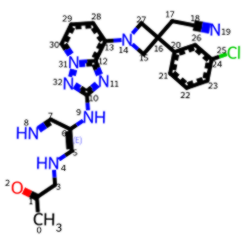 CC(=O)CN/C=C(\C=N)Nc1nc2c(N3CC(CC#N)(c4cccc(Cl)c4)C3)cccn2n1